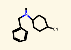 CN(Cc1ccccc1)C1CCC(C#N)CC1